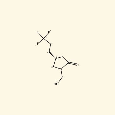 O=C1C[C@H](CCC(F)(F)F)CN1CO